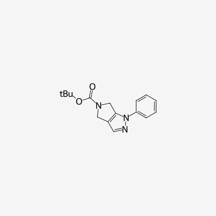 CC(C)(C)OC(=O)N1Cc2cnn(-c3ccccc3)c2C1